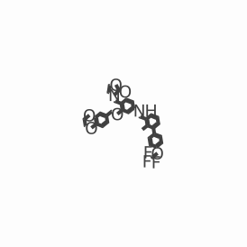 Cc1c(CNc2ccc(CN3CCOC3=O)c(OCc3ccc4c(c3)OCCO4)c2)cccc1-c1ccc(OC(F)(F)F)cc1